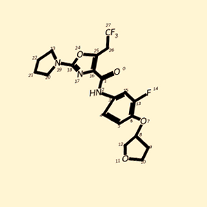 O=C(Nc1ccc(OC2CCOC2)c(F)c1)c1nc(N2CCCC2)oc1CC(F)(F)F